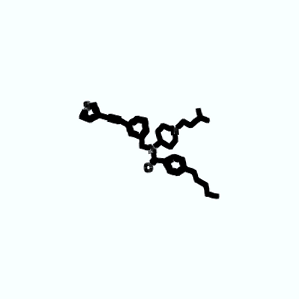 CCCCCc1ccc(C(=O)N(Cc2cccc(C#Cc3ccsc3)c2)C2CCN(CCC(C)C)CC2)cc1